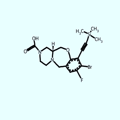 C[Si](C)(C)C#Cc1c(Br)c(F)cc2c1OC[C@H]1CN(C(=O)O)CCN1C2